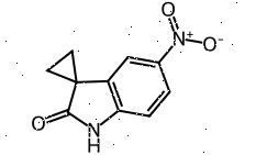 O=C1Nc2ccc([N+](=O)[O-])cc2C12CC2